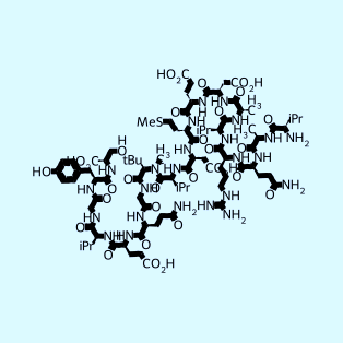 CSCC[C@H](NC(=O)[C@H](CCC(=O)O)NC(=O)[C@H](CC(=O)O)NC(=O)[C@H](C)NC(=O)[C@@H](NC(=O)[C@H](CCCNC(=N)N)NC(=O)[C@H](CCC(N)=O)NC(=O)[C@H](C)NC(=O)[C@@H](N)C(C)C)C(C)C)C(=O)N[C@@H](CC(=O)O)C(=O)N[C@H](C(=O)N(C)[C@H](C(=O)NCC(=O)N[C@@H](CCC(N)=O)C(=O)N[C@@H](CCC(=O)O)C(=O)N[C@H](C(=O)NCC(=O)N[C@@H](Cc1ccc(O)cc1)C(=O)N[C@@H](CO)C(=O)O)C(C)C)C(C)(C)C)C(C)C